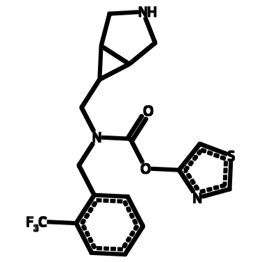 O=C(Oc1cscn1)N(Cc1ccccc1C(F)(F)F)CC1C2CNCC21